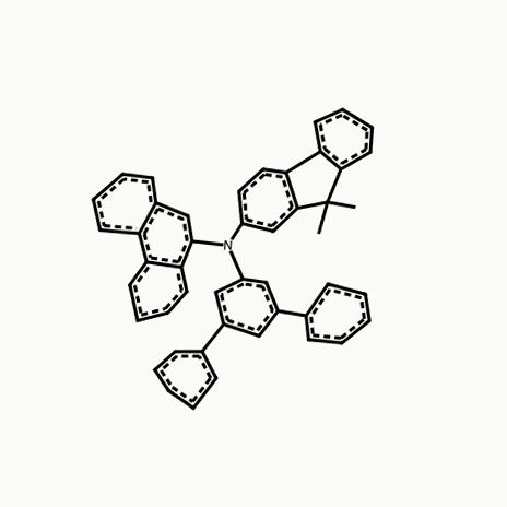 CC1(C)c2ccccc2-c2ccc(N(c3cc(-c4ccccc4)cc(-c4ccccc4)c3)c3cc4ccccc4c4ccccc34)cc21